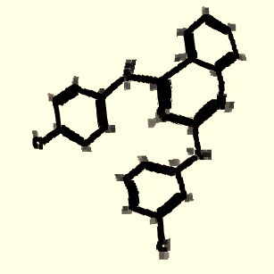 Clc1ccc(Nc2nc(Nc3cccc(Cl)c3)nc3ccccc23)cc1